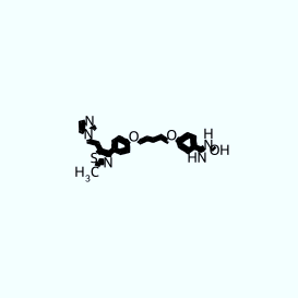 Cc1nc(-c2ccc(OCCCCCOc3ccc(C(=N)NO)cc3)cc2)c(CCn2ccnc2)s1